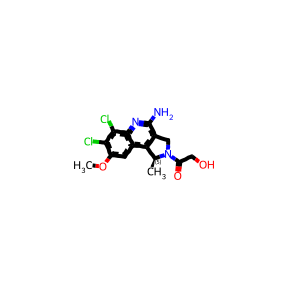 COc1cc2c3c(c(N)nc2c(Cl)c1Cl)CN(C(=O)CO)[C@H]3C